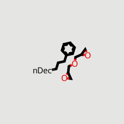 C(OCC1CO1)C1CO1.CCCCCCCCCCCCCc1ccccc1